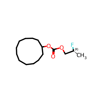 C[C@@H](F)COC(=O)OC1CCCCCCCCCCC1